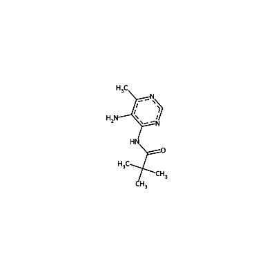 Cc1ncnc(NC(=O)C(C)(C)C)c1N